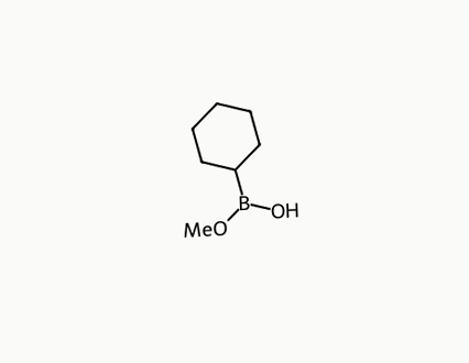 COB(O)C1CCCCC1